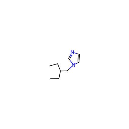 CCC([CH]n1ccnc1)CC